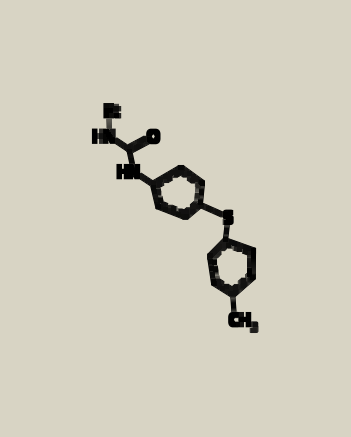 CCNC(=O)Nc1ccc(Sc2ccc(C)cc2)cc1